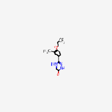 O=C1CNC(c2ccc(OCCC(F)(F)F)c(C(F)(F)F)c2)=NN1